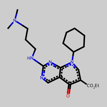 CCOC(=O)c1cn(C2CCCCC2)c2nc(NCCCN(C)C)ncc2c1=O